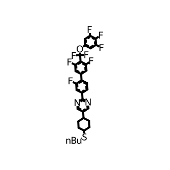 CCCCSC1CCC(c2cnc(-c3ccc(-c4cc(F)c(C(F)(F)Oc5cc(F)c(F)c(F)c5)c(F)c4)c(F)c3)nc2)CC1